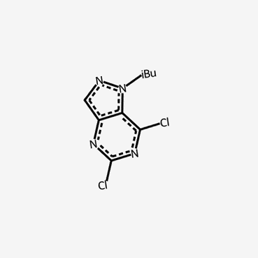 CCC(C)n1ncc2nc(Cl)nc(Cl)c21